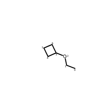 CCO[C]1CCC1